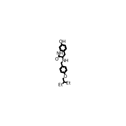 CCC(CC)COc1ccc(CNC(Cc2ccc(O)cc2)C(N)=O)cc1